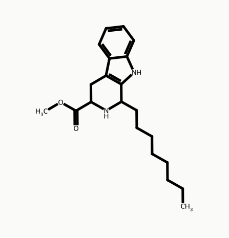 CCCCCCCCC1NC(C(=O)OC)Cc2c1[nH]c1ccccc21